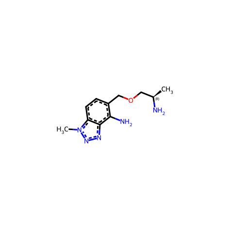 C[C@@H](N)COCc1ccc2c(nnn2C)c1N